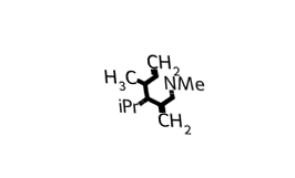 C=CC(C)C(C(=C)CNC)C(C)C